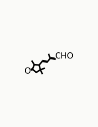 CC(/C=C/C1C(C)C(=O)CC1(C)C)=C\C=O